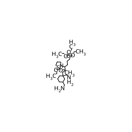 CCO[Si](CCCC(CCC1(CN)CCCC(CN)C1)N1CCC[Si]1(OCC)OCC)(OCC)OCC